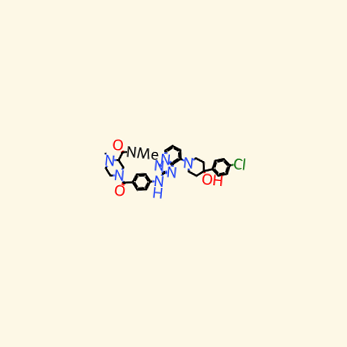 CNC(=O)C1CN(C(=O)c2ccc(Nc3nc4c(N5CCC(O)(c6ccc(Cl)cc6)CC5)cccn4n3)cc2)CCN1C